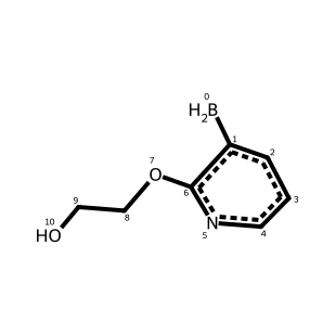 Bc1cccnc1OCCO